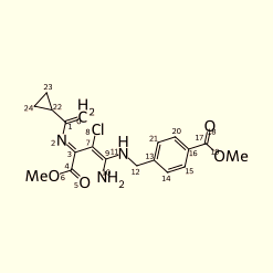 C=C(/N=C(C(=O)OC)\C(Cl)=C(/N)NCc1ccc(C(=O)OC)cc1)C1CC1